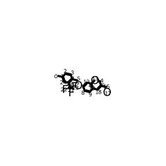 Cc1ccc(COc2ccc3c(c2)OCC(C=O)=C3)c(C(F)(F)F)c1